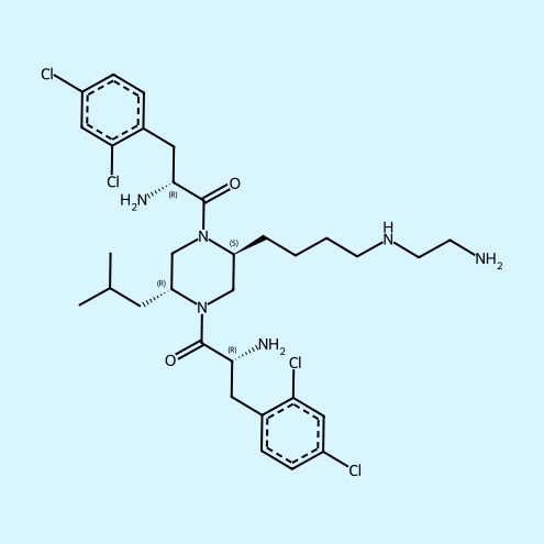 CC(C)C[C@@H]1CN(C(=O)[C@H](N)Cc2ccc(Cl)cc2Cl)[C@@H](CCCCNCCN)CN1C(=O)[C@H](N)Cc1ccc(Cl)cc1Cl